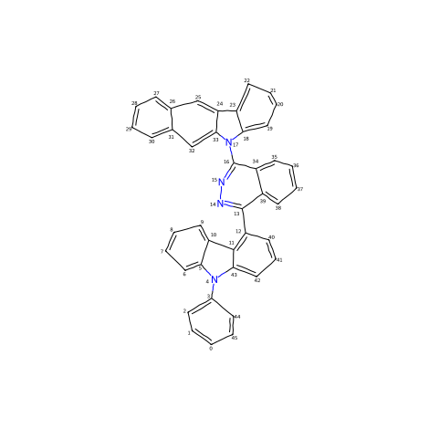 c1ccc(-n2c3ccccc3c3c(-c4nnc(-n5c6ccccc6c6cc7ccccc7cc65)c5ccccc45)cccc32)cc1